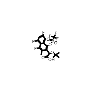 Cc1c(C(OC(C)(C)C)C(=O)O)c(OS(=O)(=O)C(F)(F)F)c2cc(F)cc(F)c2c1F